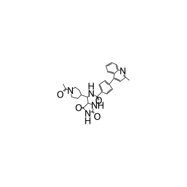 CC(=O)N1CCC(C(NC(=O)c2ccc(-c3cc(C)nc4ccccc34)cc2)C2NC(=O)NC2=O)CC1